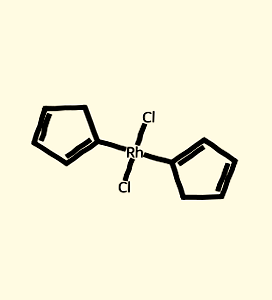 [Cl][Rh]([Cl])([C]1=CC=CC1)[C]1=CC=CC1